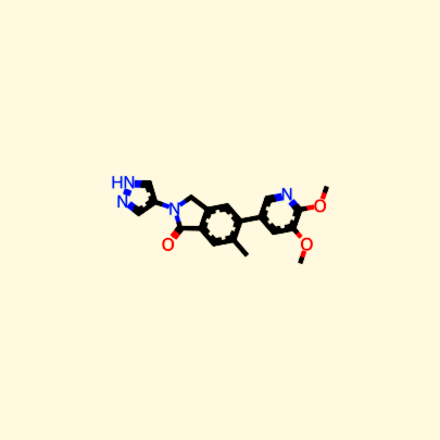 COc1cc(-c2cc3c(cc2C)C(=O)N(c2cn[nH]c2)C3)cnc1OC